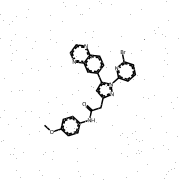 COc1ccc(NC(=O)Cc2cc(-c3ccc4nccnc4c3)n(-c3cccc(Br)n3)n2)cc1